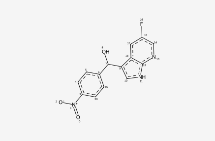 O=[N+]([O-])c1ccc(C(O)c2c[nH]c3ncc(F)cc23)cc1